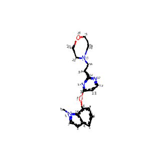 Cn1ccc2cccc(Oc3ccnc(CCN4CCOCC4)n3)c21